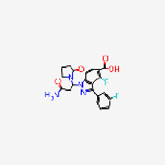 NC(=O)CC(N1CCCC1=O)n1nc(-c2cccc(F)c2)c2c(F)c(C(=O)O)ccc21